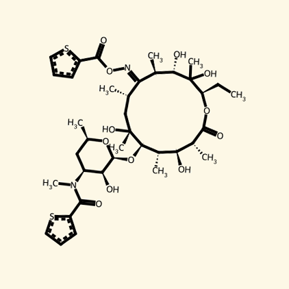 CC[C@H]1OC(=O)[C@H](C)[C@@H](O)[C@H](C)[C@@H](O[C@@H]2O[C@H](C)C[C@H](N(C)C(=O)c3cccs3)[C@@H]2O)[C@](C)(O)C[C@H](C)/C(=N\OC(=O)c2cccs2)[C@@H](C)[C@H](O)C1(C)O